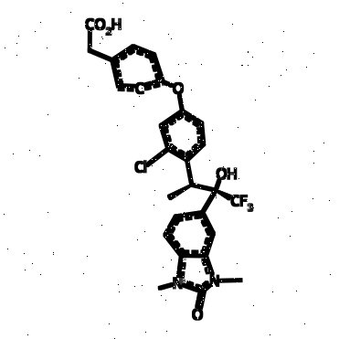 C[C@@H](c1ccc(Oc2ccc(CC(=O)O)cc2)cc1Cl)[C@](O)(c1ccc2c(c1)n(C)c(=O)n2C)C(F)(F)F